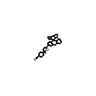 CC1(c2ccc(C#N)cc2)CC=C(c2ccc3c(c2)Cc2ccccc2C32c3ccccc3-c3ccccc32)O1